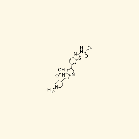 CN1CCC(C2Cc3ncc(-c4ccc5nc(NC(=O)C6CC6)sc5c4)cc3N2C(=O)O)CC1